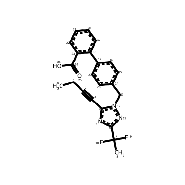 CCC#Cc1nc(C(C)(F)F)nn1Cc1ccc(-c2ccccc2C(=O)O)cc1